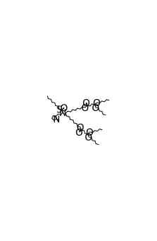 CCCCCCCSC(=O)N(CCC1CCCN1C)C(CCCCCCCOC(=O)CCC(OCCCCC)OCCCCC)CCCCCCCOC(=O)CCC(OCCCCC)OCCCCC